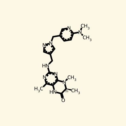 Cc1nc(NCc2cnn(Cc3ccc(N(C)C)nc3)c2)nc2c1NC(=O)[C@H](C)N2C